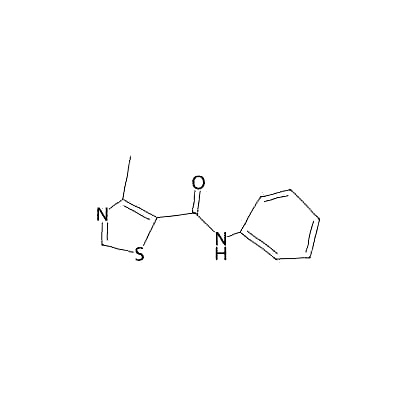 Cc1ncsc1C(=O)Nc1ccccc1